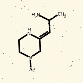 CC(=O)N1CCN/C(=C\C(C)N)C1